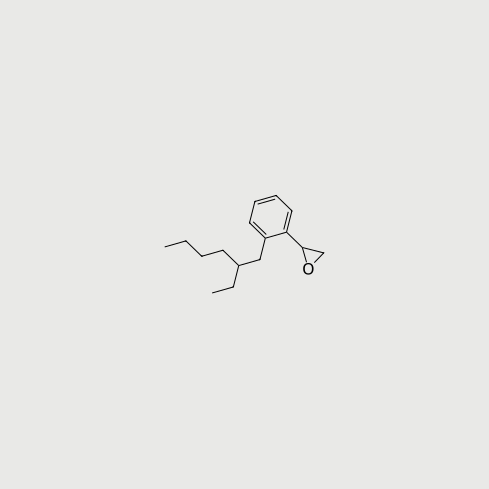 CCCCC(CC)Cc1ccccc1C1CO1